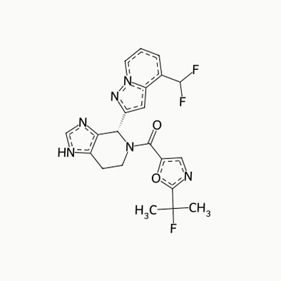 CC(C)(F)c1ncc(C(=O)N2CCc3[nH]cnc3[C@@H]2c2cc3c(C(F)F)cccn3n2)o1